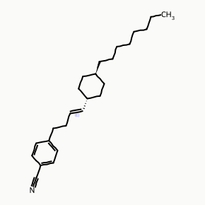 CCCCCCCC[C@H]1CC[C@H](/C=C/CCc2ccc(C#N)cc2)CC1